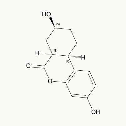 O=C1Oc2cc(O)ccc2[C@@H]2CC[C@H](O)C[C@H]12